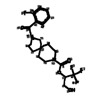 O=C(OC(CO)C(F)(F)F)N1CCC2(CC1)CCN(C(=O)c1ccccc1F)C2